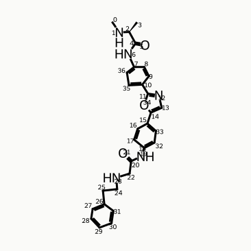 CN[C@@H](C)C(=O)Nc1ccc(-c2ncc(-c3ccc(NC(=O)CNCCc4ccccc4)cc3)o2)cc1